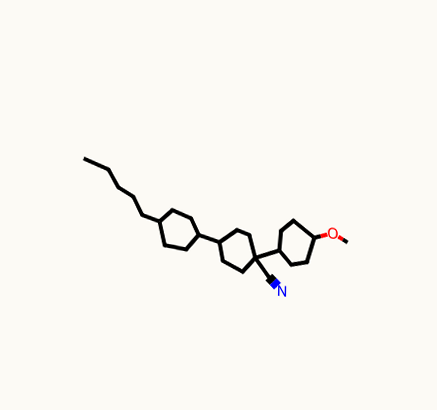 CCCCCC1CCC(C2CCC(C#N)(C3CCC(OC)CC3)CC2)CC1